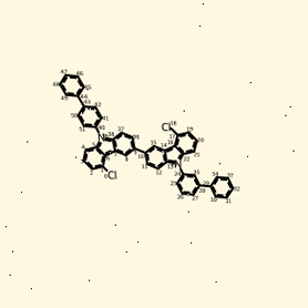 Clc1cccc2c1c1cc(-c3ccc4c(c3)c3c(Cl)cccc3n4-c3cccc(-c4ccccc4)c3)ccc1n2-c1ccc(-c2ccccc2)cc1